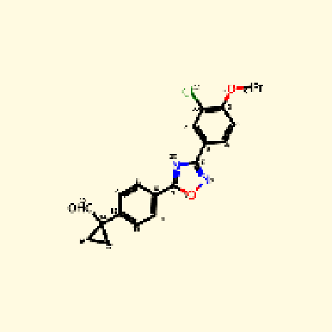 CC(C)Oc1ccc(-c2noc(-c3ccc(C4(C=O)CC4)cc3)n2)cc1Cl